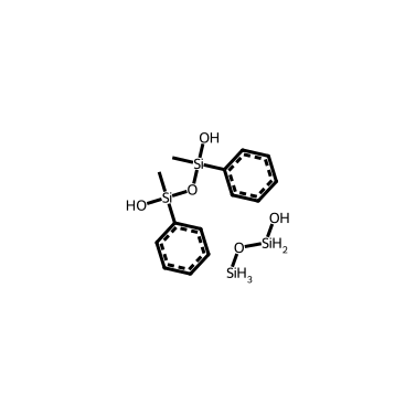 C[Si](O)(O[Si](C)(O)c1ccccc1)c1ccccc1.O[SiH2]O[SiH3]